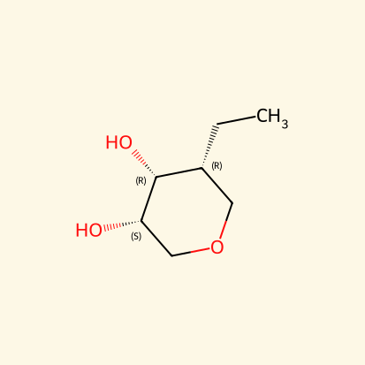 CC[C@@H]1COC[C@H](O)[C@@H]1O